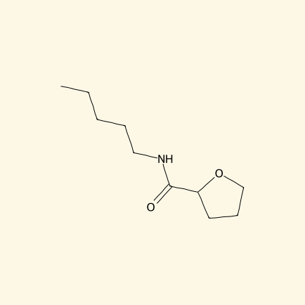 CCCCCNC(=O)C1CCCO1